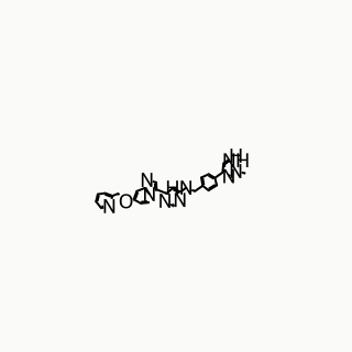 CN/N=C(\C=N)c1ccc(CNc2cc(-c3cnc4cc(OCc5ccccn5)ccn34)ncn2)cc1